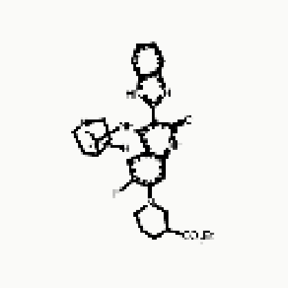 CCOC(=O)C1CCCN(c2cc3[nH]c(=O)c(-c4nc5ccccc5[nH]4)c(N[C@H]4CN5CCC4CC5)c3cc2F)C1